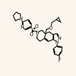 O=S(=O)(c1ccc(N2CCCC2)nc1)N1CCC2=Cc3c(cnn3-c3ccc(F)cc3)CC2(COCC2CC2)C1